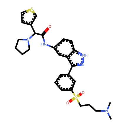 CN(C)CCCS(=O)(=O)c1cccc(-c2n[nH]c3ccc(NC(=O)C(c4ccsc4)N4CCCC4)cc23)c1